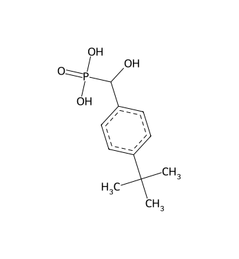 CC(C)(C)c1ccc(C(O)P(=O)(O)O)cc1